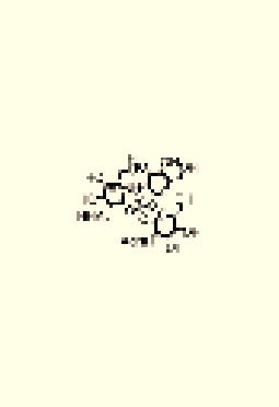 CC(=O)N[C@H]1[C@H](OP(=O)(O[C@@H]2O[C@H](CO)[C@@H](O)[C@H](O)[C@H]2NC(C)=O)O[C@@H]2O[C@H](CO)[C@@H](O)[C@H](O)[C@H]2NC(C)=O)O[C@H](CO)[C@@H](O)[C@@H]1O